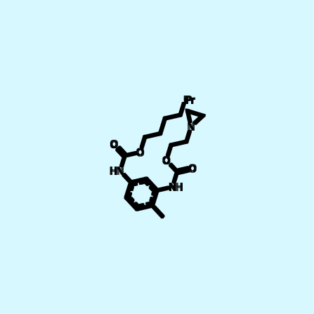 Cc1ccc(NC(=O)OCCCCC(C)C)cc1NC(=O)OCCN1CC1